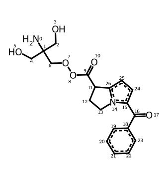 NC(CO)(CO)COOC(=O)C1CCn2c(C(=O)c3ccccc3)ccc21